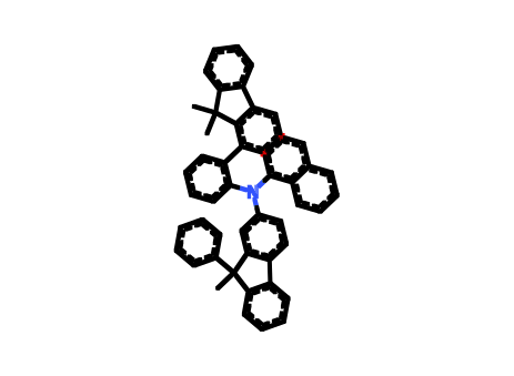 CC1(C)c2ccccc2-c2cccc(-c3ccccc3N(c3ccc4c(c3)C(C)(c3ccccc3)c3ccccc3-4)c3cccc4ccccc34)c21